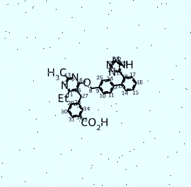 CCc1nc(C)nc(OCc2ccc(-c3ccccc3-c3nnn[nH]3)cc2)c1Cc1cccc(C(=O)O)c1